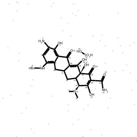 CCCCNc1cc(N)c(O)c2c1CC1CC3[C@H](N(C)C)C(O)=C(C(N)=O)C(=O)[C@@]3(O)C(O)=C1C2=O.O=S(=O)(O)O